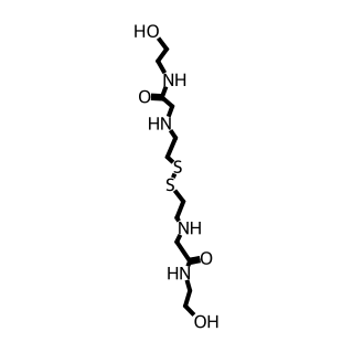 O=C(CNCCSSCCNCC(=O)NCCO)NCCO